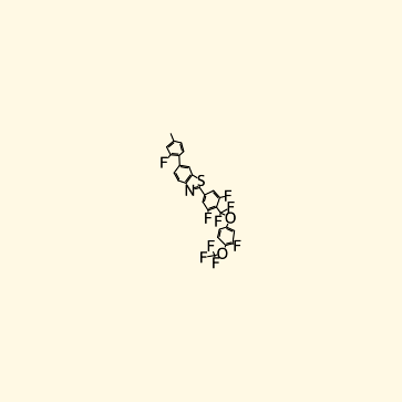 Cc1ccc(-c2ccc3nc(-c4cc(F)c(C(F)(F)Oc5ccc(OC(F)(F)F)c(F)c5)c(F)c4)sc3c2)c(F)c1